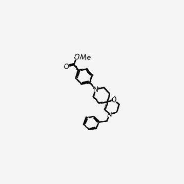 COC(=O)c1ccc(N2CCC3(CC2)CN(Cc2ccccc2)CCO3)cc1